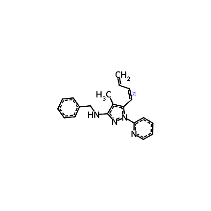 C=C/C=C\c1c(C)c(NCc2ccccc2)nn1-c1ccccn1